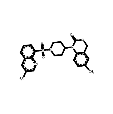 Cc1ccc2c(c1)COC(=O)N2C1CCN(S(=O)(=O)c2cccc3cc(C)cnc23)CC1